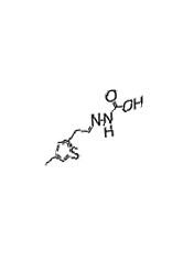 Cc1csc(C/C=N/NC(=O)O)c1